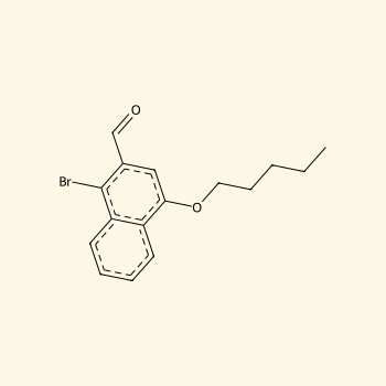 CCCCCOc1cc(C=O)c(Br)c2ccccc12